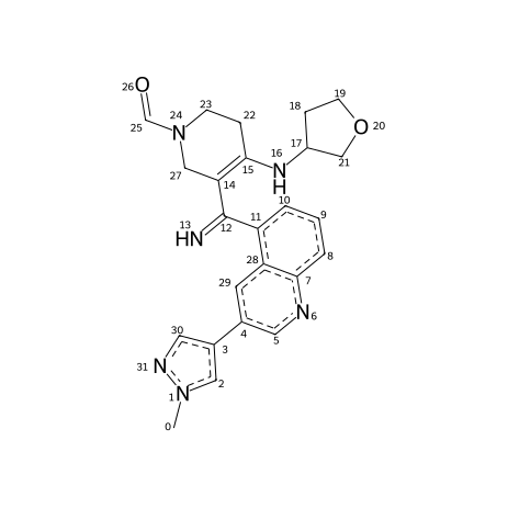 Cn1cc(-c2cnc3cccc(C(=N)C4=C(NC5CCOC5)CCN(C=O)C4)c3c2)cn1